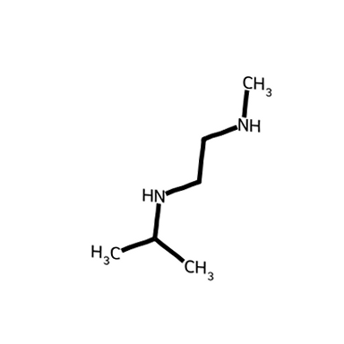 CNCCNC(C)C